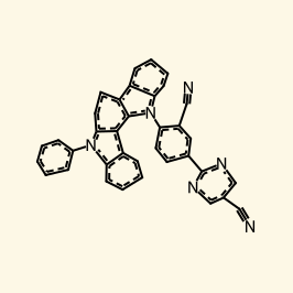 N#Cc1cnc(-c2ccc(-n3c4ccccc4c4ccc5c(c6ccccc6n5-c5ccccc5)c43)c(C#N)c2)nc1